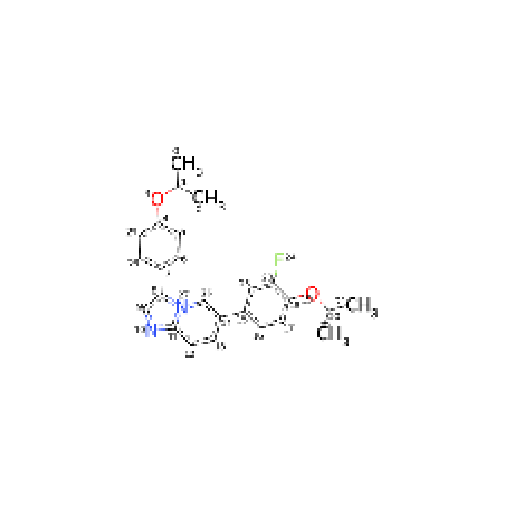 CC(C)Oc1ccc(-c2cnc3ccc(-c4ccc(OC(C)C)c(F)c4)cn23)cc1